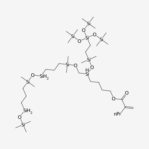 C=C(CCC)C(=O)OCCCC[SiH](CO[Si](C)(C)CCC[SiH2]O[Si](C)(C)CCC[SiH2]O[Si](C)(C)C)O[Si](C)(C)CC[Si](O[Si](C)(C)C)(O[Si](C)(C)C)O[Si](C)(C)C